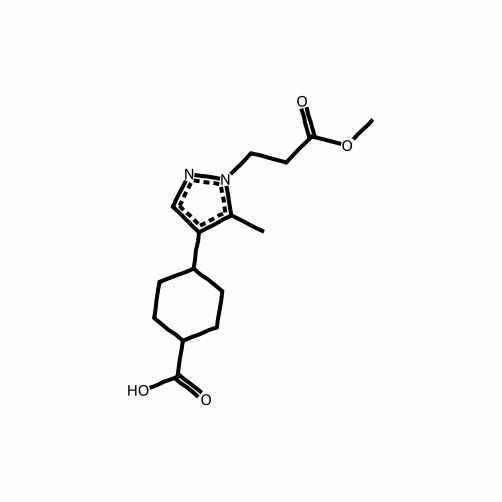 COC(=O)CCn1ncc(C2CCC(C(=O)O)CC2)c1C